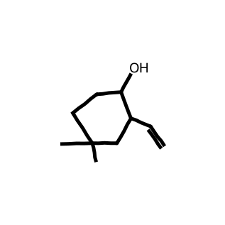 C=CC1CC(C)(C)CCC1O